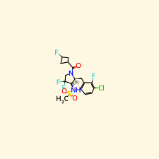 CS(=O)(=O)N[C@@H]1[C@H](Cc2cccc(Cl)c2F)N(C(=O)C2CC(F)C2)CC1(F)F